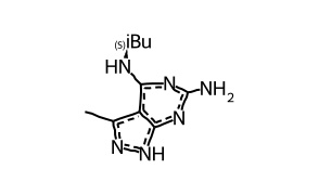 CC[C@H](C)Nc1nc(N)nc2[nH]nc(C)c12